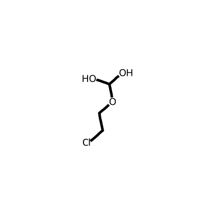 OC(O)OCCCl